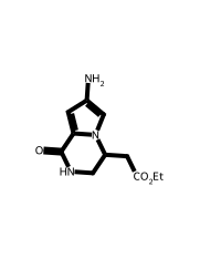 CCOC(=O)CC1CNC(=O)c2cc(N)cn21